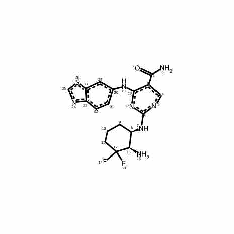 NC(=O)c1cnc(N[C@@H]2CCCC(F)(F)[C@@H]2N)nc1Nc1ccc2ncsc2c1